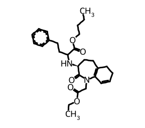 CCCCOC(=O)C(CCc1ccccc1)N[C@H]1CCC2=C(C=CCC2)N(CC(=O)OCC)C1=O